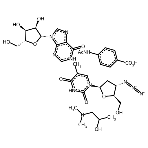 CC(=O)Nc1ccc(C(=O)O)cc1.CC(O)CN(C)C.Cc1cn([C@H]2C[C@H](N=[N+]=[N-])[C@@H](CO)O2)c(=O)[nH]c1=O.O=c1[nH]cnc2c1ncn2[C@@H]1O[C@H](CO)[C@@H](O)[C@H]1O